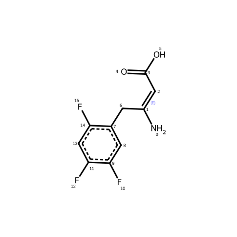 N/C(=C/C(=O)O)Cc1cc(F)c(F)cc1F